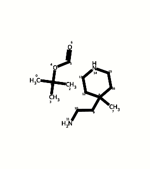 CC(C)(C)OC=O.CC1(CCN)CCNCC1